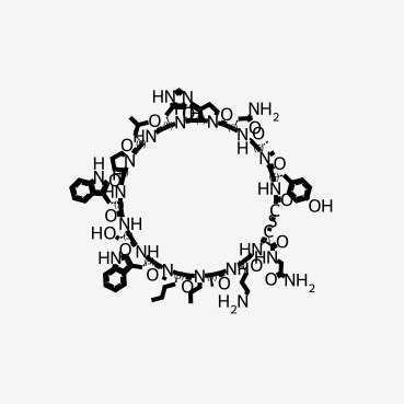 C=C1CCN2C(=O)[C@H](CC(N)=O)NC(=O)[C@H](C)N(C)C(=O)[C@H](Cc3ccc(O)cc3)NC(=O)CSC[C@@H](C(=O)NCC(N)=O)NC(=O)[C@H](CCCN)NC(=O)[C@@H](C)N(CCC)C(=O)[C@H](CCCC)N(C)C(=O)[C@H](Cc3c[nH]c4ccccc34)NC(=O)[C@H](CO)NC(=O)[C@H](Cc3c[nH]c4ccccc34)NC(=O)[C@@H]3CCCN3C(=O)[C@H](CC(C)C)NC(=O)[C@H](Cc3cnc[nH]3)NC(=O)[C@H]12